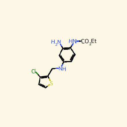 CCOC(=O)Nc1ccc(NCc2sccc2Cl)cc1N